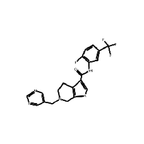 O=C(Nc1cc(C(F)(F)F)ccc1F)c1csc2c1CCN(Cc1cncnc1)C2